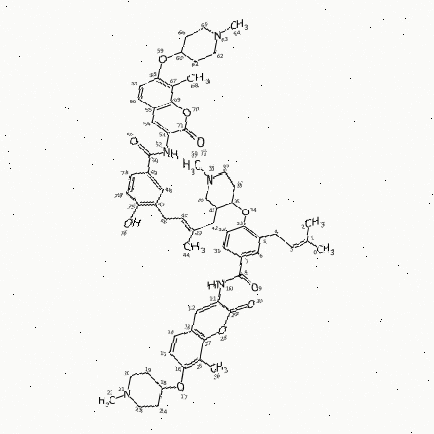 CC(C)=CCc1cc(C(=O)Nc2cc3ccc(OC4CCN(C)CC4)c(C)c3oc2=O)ccc1OC1CCN(C)CC1C/C(C)=C/Cc1cc(C(=O)Nc2cc3ccc(OC4CCN(C)CC4)c(C)c3oc2=O)ccc1O